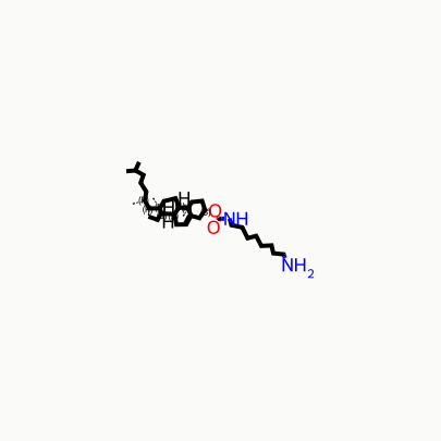 CC(C)CCC[C@@H](C)[C@H]1CC[C@H]2[C@@H]3CC=C4C[C@@H](OC(=O)NCCCCCCCCN)CC[C@]4(C)[C@H]3CC[C@]12C